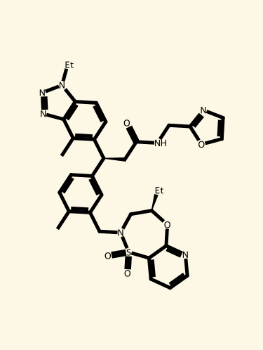 CC[C@@H]1CN(Cc2cc([C@H](CC(=O)NCc3ncco3)c3ccc4c(nnn4CC)c3C)ccc2C)S(=O)(=O)c2cccnc2O1